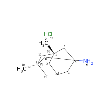 C[C@]12CC3CC(N)(C1)C[C@@](C)(C3)C2.Cl